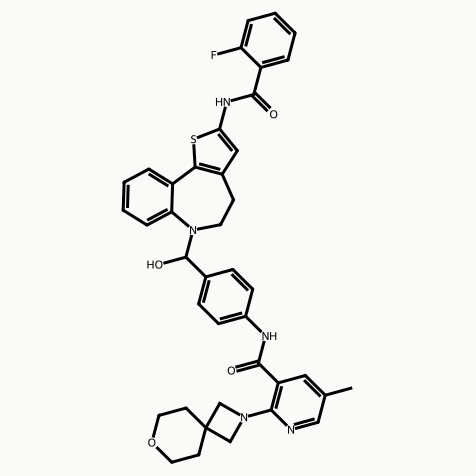 Cc1cnc(N2CC3(CCOCC3)C2)c(C(=O)Nc2ccc(C(O)N3CCc4cc(NC(=O)c5ccccc5F)sc4-c4ccccc43)cc2)c1